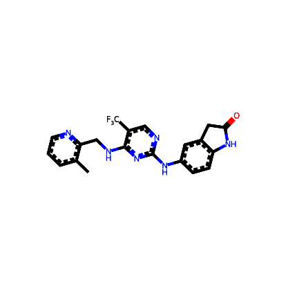 Cc1cccnc1CNc1nc(Nc2ccc3c(c2)CC(=O)N3)ncc1C(F)(F)F